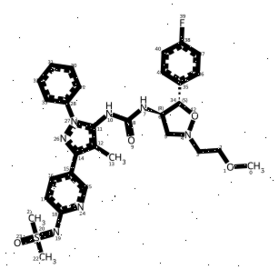 COCCN1C[C@@H](NC(=O)Nc2c(C)c(-c3ccc(N=S(C)(C)=O)nc3)nn2-c2ccccc2)[C@H](c2ccc(F)cc2)O1